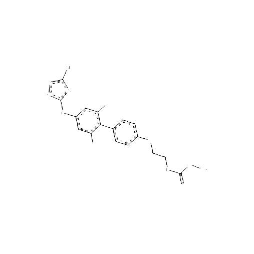 CC(C)(C)OC(=O)NCCOc1ccc(-c2c(Cl)cc(Nc3n[nH]c(N)n3)cc2C(F)(F)F)cc1